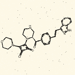 O=C(c1ccc(C=Cc2n[nH]c3ccccc23)cc1)C1CNCCN1c1c(N2CCOCC2)c(=O)c1=O